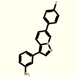 Nc1cccc(-c2cnn3cc(-c4ccc(F)cc4)ccc23)c1